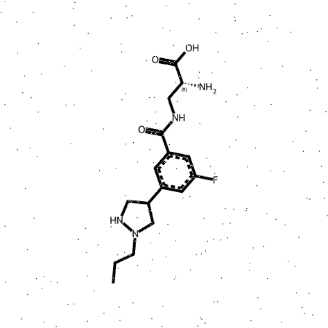 CCCN1CC(c2cc(F)cc(C(=O)NC[C@@H](N)C(=O)O)c2)CN1